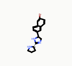 Brc1ccc2cc(C3CN=C([C@@H]4CCCN4)N3)ccc2c1